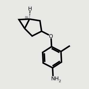 Cc1cc(N)ccc1OC1CC2C[C@H]2C1